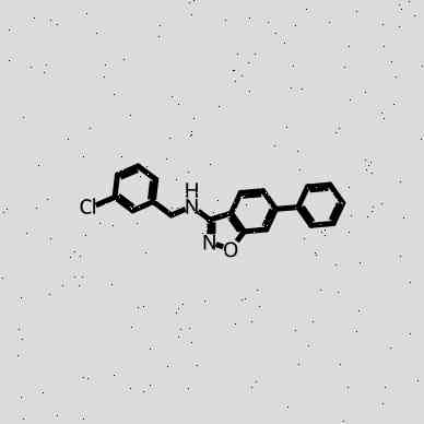 Clc1cccc(CNc2noc3cc(-c4ccccc4)ccc23)c1